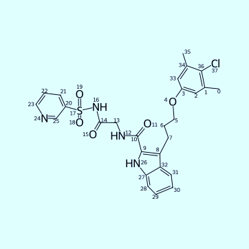 Cc1cc(OCCCc2c(C(=O)NCC(=O)NS(=O)(=O)c3cccnc3)[nH]c3ccccc23)cc(C)c1Cl